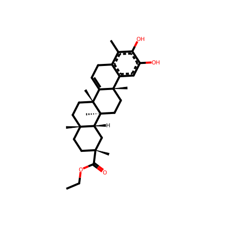 CCOC(=O)[C@]1(C)CC[C@]2(C)CC[C@]3(C)C4=CCc5c(cc(O)c(O)c5C)[C@]4(C)CC[C@@]3(C)[C@@H]2C1